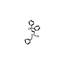 N#C[SH](C=CP(=O)(c1ccccc1)c1ccccc1)CCc1ccccc1